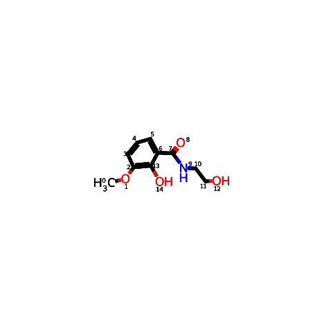 COc1cccc(C(=O)NCCO)c1O